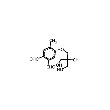 CC(CO)(CO)CO.Cc1ccc(C=O)c(C=O)c1